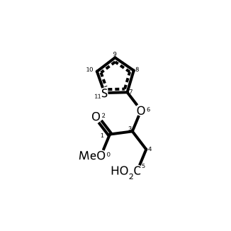 COC(=O)C(CC(=O)O)Oc1cccs1